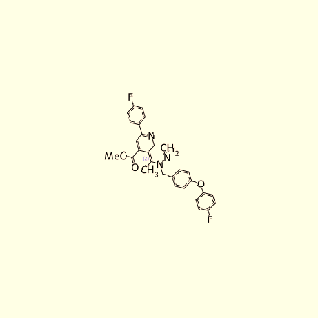 C=NN(Cc1ccc(Oc2ccc(F)cc2)cc1)/C(C)=C1\CN=C(c2ccc(F)cc2)C=C1C(=O)OC